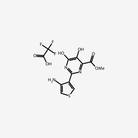 COC(=O)c1nc(-c2cscc2N)nc(O)c1O.O=C(O)C(F)(F)F